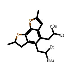 CCCCC(CC)Cc1c2c(c3sc(C)cc3c1CC(CC)CCCC)SC(C)C2